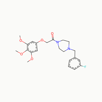 COc1cc(OCC(=O)N2CCN(Cc3cccc(F)c3)CC2)cc(OC)c1OC